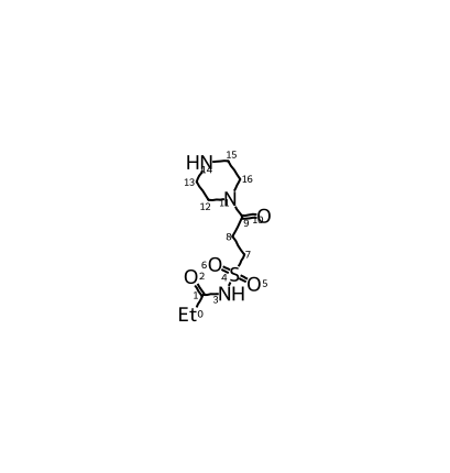 CCC(=O)NS(=O)(=O)CCC(=O)N1CCNCC1